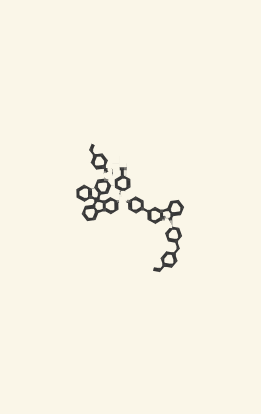 C=Cc1ccc(Cc2ccc(-n3c4ccccc4c4cc(-c5ccc(N(c6ccc(C(F)(F)F)cc6)c6ccc7c(c6)C(c6ccccc6)(c6ccc(Oc8ccc(C=C)cc8)cc6)c6ccccc6-7)cc5)ccc43)cc2)cc1